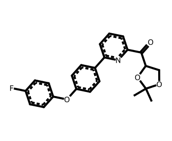 CC1(C)OCC(C(=O)c2cccc(-c3ccc(Oc4ccc(F)cc4)cc3)n2)O1